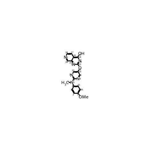 COc1ccc(N(C)c2ncc(Oc3nc(O)c4ccncc4n3)cn2)cc1